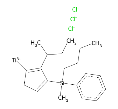 CCCC[Si](C)(C1=CC[C]([Ti+3])=C1C(C)CC)c1ccccc1.[Cl-].[Cl-].[Cl-]